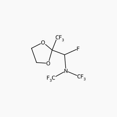 FC(N(C(F)(F)F)C(F)(F)F)C1(C(F)(F)F)OCCO1